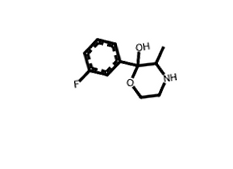 CC1NCCOC1(O)c1cccc(F)c1